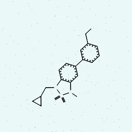 CN1c2cc(-c3cccc(CN)c3)ccc2N(CC2CC2)S1(=O)=O.Cl